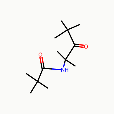 CC(C)(C)C(=O)NC(C)(C)C(=O)C(C)(C)C